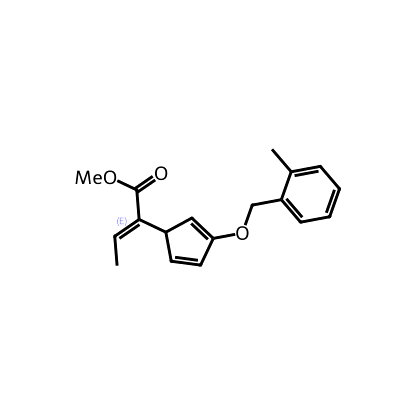 C/C=C(/C(=O)OC)C1C=CC(OCc2ccccc2C)=C1